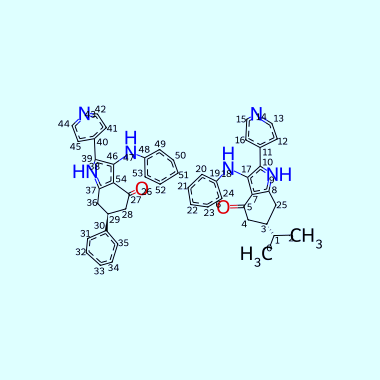 CC(C)[C@@H]1CC(=O)c2c([nH]c(-c3ccncc3)c2Nc2ccccc2)C1.O=C1C[C@@H](c2ccccc2)Cc2[nH]c(-c3ccncc3)c(Nc3ccccc3)c21